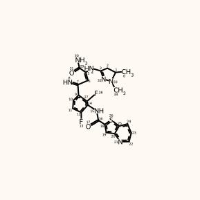 CC1CC(N/C(=C/C(=N)c2ccc(F)c(NC(=O)c3cc4ncccc4s3)c2F)C(N)=O)=NN1C